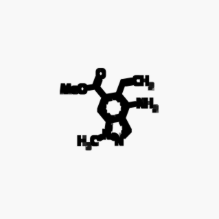 C=Cc1c(C(=O)OC)cc2c(cnn2C)c1N